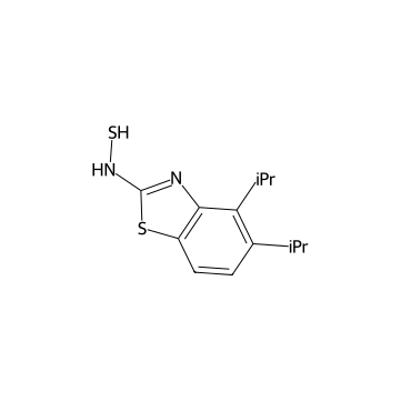 CC(C)c1ccc2sc(NS)nc2c1C(C)C